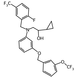 OC(CN(Cc1cc(C(F)(F)F)ccc1F)c1cccc(OCc2cccc(OC(F)(F)F)c2)c1)C1CC1